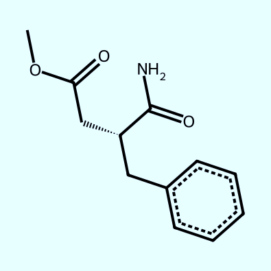 COC(=O)C[C@@H](Cc1ccccc1)C(N)=O